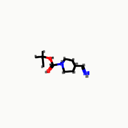 CC(C)(C)OC(=O)N1CCC(C=N)CC1